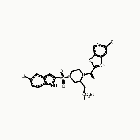 CCOC(=O)CC1CN(S(=O)(=O)c2cc3cc(Cl)ccc3[nH]2)CCN1C(=O)C1=[N+]c2cc(C)ncc2S1.[I-]